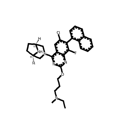 CCN(C)CCCOc1nc(N2C[C@H]3CC[C@@H](C2)N3)c2cc(Cl)c(-c3cccc4ccccc34)c(F)c2n1